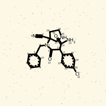 N#CC1(N(Cc2ccccc2)C(=O)C(C(N)=O)c2ccc(Cl)cc2)CCNC1